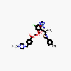 C[C@@H](c1nc(-c2ccc(C#N)cc2)cs1)[C@@](Cn1cncn1)(OC(=O)OCOC(=O)c1ccc(CN2CCN(C)CC2)cc1)c1ccc(F)cc1F